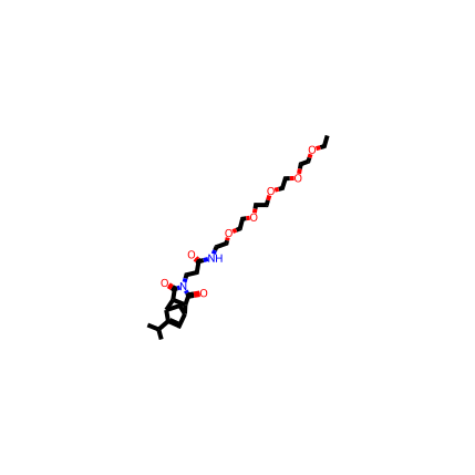 CCOCCOCCOCCOCCOCCNC(=O)CCN1C(=O)C2C3C=C(C(C)C)C(C3)C2C1=O